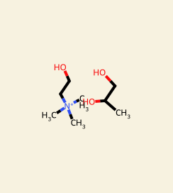 CC(O)CO.C[N+](C)(C)CCO